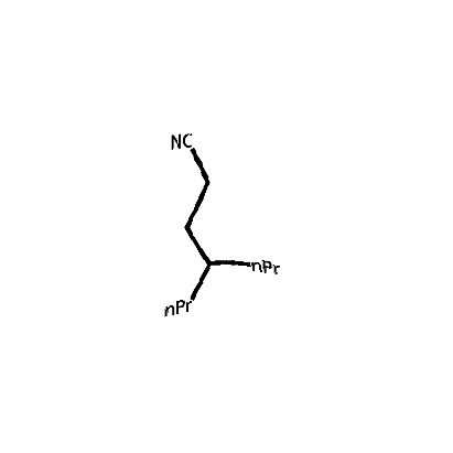 CCCC(CCC)CCC#N